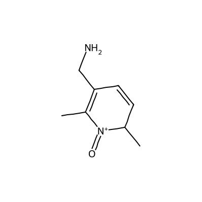 CC1=C(CN)C=CC(C)[N+]1=O